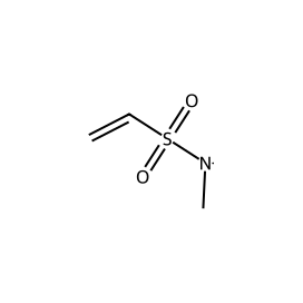 C=CS(=O)(=O)[N]C